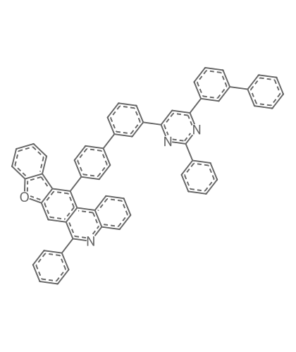 c1ccc(-c2cccc(-c3cc(-c4cccc(-c5ccc(-c6c7c(cc8c(-c9ccccc9)nc9ccccc9c68)oc6ccccc67)cc5)c4)nc(-c4ccccc4)n3)c2)cc1